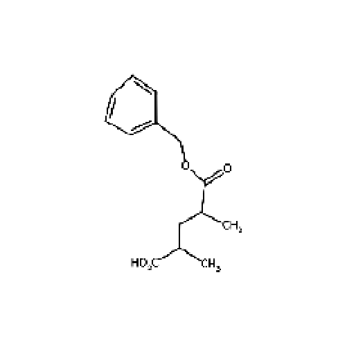 CC(CC(C)C(=O)OCc1ccccc1)C(=O)O